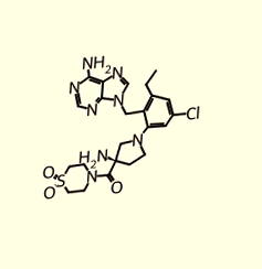 CCc1cc(Cl)cc(N2CC[C@](N)(C(=O)N3CCS(=O)(=O)CC3)C2)c1Cn1cnc2c(N)ncnc21